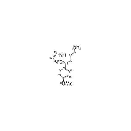 COc1ccc(C(CCCN)c2ncc[nH]2)cc1